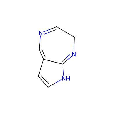 C1=NC=c2cc[nH]c2=NC1